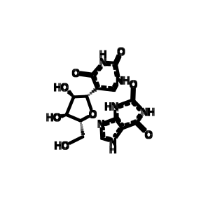 O=c1[nH]c(=O)c2[nH]cnc2[nH]1.O=c1[nH]cc([C@@H]2O[C@H](CO)[C@@H](O)[C@H]2O)c(=O)[nH]1